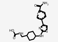 NC(=O)c1ccc(-c2csc(NC3CCC(CNC(=O)O)CC3)n2)cc1